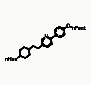 CCCCCCC1CCC(CCc2ccc(-c3ccc(OCCCCC)cc3)nc2)CC1